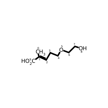 C/C(=C\CCOCCO)C(=O)O